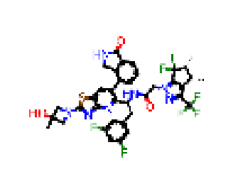 C[C@@H]1c2c(C(F)(F)F)nn(CC(=O)N[C@@H](Cc3cc(F)cc(F)c3)c3nc4nc(N5CC(C)(O)C5)sc4cc3-c3cccc4c3CNC4=O)c2C(F)(F)[C@@H]1C